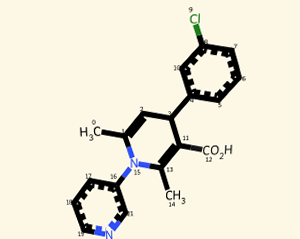 CC1=CC(c2cccc(Cl)c2)C(C(=O)O)=C(C)N1c1cccnc1